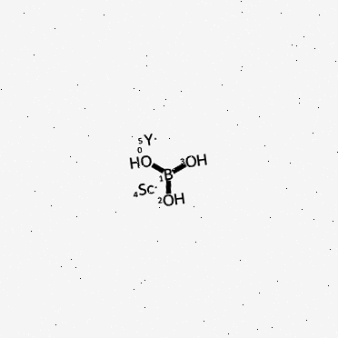 OB(O)O.[Sc].[Y]